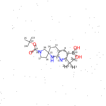 [2H]C([2H])([2H])c1nc2c(cc1B(O)O)CCC1(CCN(C(=O)OC(C)(C)C)C1)N2